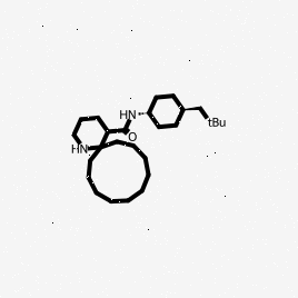 CC(C)(C)C[C@H]1CC[C@H](NC(=O)C2CCCNC23CCCCCCCCCC3)CC1